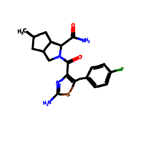 CC1CC2CN(C(=O)c3nc(N)sc3-c3ccc(F)cc3)C(C(N)=O)C2C1